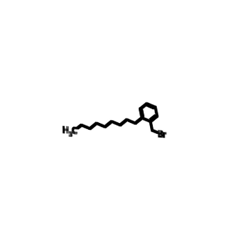 CCCCCCCCCc1ccccc1CBr